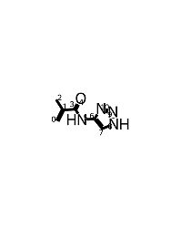 C=C(C)C(=O)Nc1c[nH]nn1